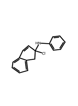 ClC1(Nc2ccccc2)C=Cc2ccccc2C1